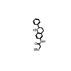 CC(C)(C)CC(=O)Nc1ccc2c(c1)CCC(c1ccccc1)N2